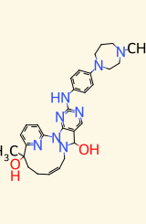 CN1CCCN(c2ccc(Nc3ncc4c(n3)N3c5cccc(n5)C(C)(O)CC/C=C\CN3C4O)cc2)CC1